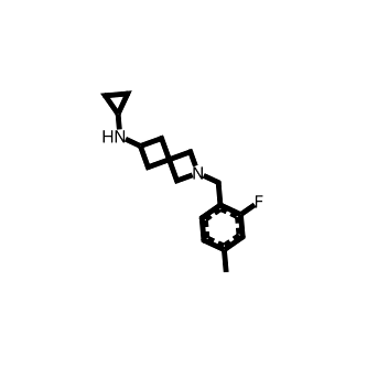 Cc1ccc(CN2CC3(CC(NC4CC4)C3)C2)c(F)c1